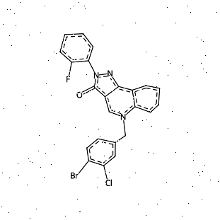 O=c1c2cn(Cc3ccc(Br)c(Cl)c3)c3ccccc3c-2nn1-c1ccccc1F